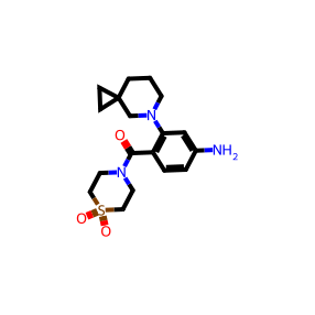 Nc1ccc(C(=O)N2CCS(=O)(=O)CC2)c(N2CCCC3(CC3)C2)c1